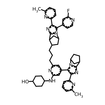 Cc1cccc(-c2nc3n(c2-c2cc(CCCC4CC5CC4c4nc(-c6cccc(C)n6)c(-c6ccnc(F)c6)n45)nc(NC4CCC(O)CC4)c2)C2CCC3C2)n1